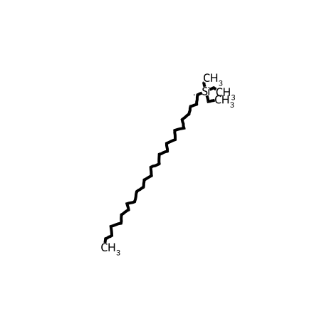 CCCCCCCCCCCCCCCCCCCCCCCCC[CH][Si](CC)(CC)CC